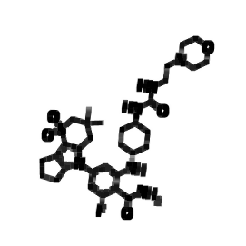 CC1(C)Cc2c(c3c(n2-c2cc(F)c(C(N)=O)c(N[C@H]4CC[C@H](NC(=O)NCCN5CCOCC5)CC4)c2)CCC3)S(=O)(=O)C1